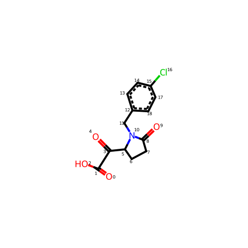 O=C(O)C(=O)C1CCC(=O)N1Cc1ccc(Cl)cc1